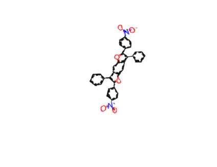 O=[N+]([O-])c1ccc(-c2oc3cc4c(-c5ccccc5)c(-c5ccc([N+](=O)[O-])cc5)oc4cc3c2-c2ccccc2)cc1